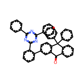 O=C1c2ccccc2C(c2ccccc2)(c2ccccc2)c2ccc(-c3ccccc3-c3nc(-c4ccccc4)nc(-c4ccccc4)n3)cc21